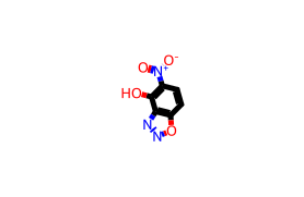 O=[N+]([O-])c1ccc2onnc2c1O